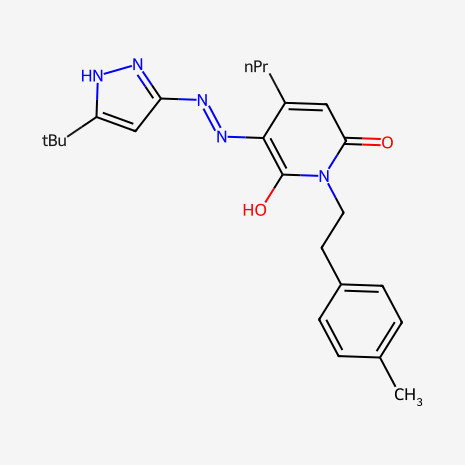 CCCc1cc(=O)n(CCc2ccc(C)cc2)c(O)c1N=Nc1cc(C(C)(C)C)[nH]n1